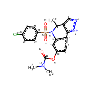 CC1c2cn[nH]c2-c2ccc(OC(=O)N(C)C)cc2N1S(=O)(=O)c1ccc(Cl)cc1